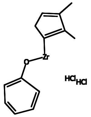 CC1=CC[C]([Zr][O]c2ccccc2)=C1C.Cl.Cl